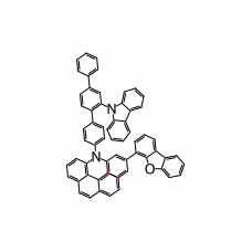 c1ccc(-c2ccc(-c3ccc(N(c4cccc(-c5cccc6c5oc5ccccc56)c4)c4cccc5ccc6ccccc6c45)cc3)c(-n3c4ccccc4c4ccccc43)c2)cc1